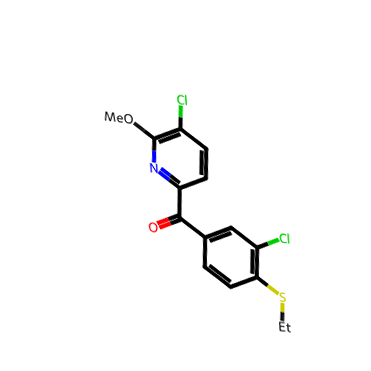 CCSc1ccc(C(=O)c2ccc(Cl)c(OC)n2)cc1Cl